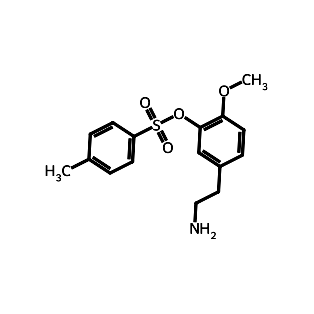 COc1ccc(CCN)cc1OS(=O)(=O)c1ccc(C)cc1